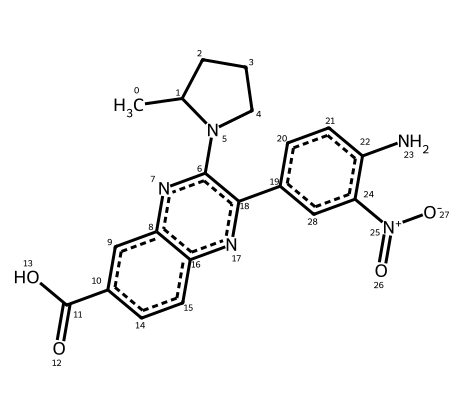 CC1CCCN1c1nc2cc(C(=O)O)ccc2nc1-c1ccc(N)c([N+](=O)[O-])c1